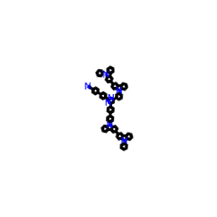 N#Cc1ccc(-c2ccc(-c3nc(-c4ccc(-c5ccc(-n6c7ccccc7c7cc(-c8ccc9c(c8)c8ccccc8n9-c8ccccc8)ccc76)cc5)cc4)cc(-c4cccc(-n5c6ccccc6c6cc(-c7ccc8c(c7)c7ccccc7n8-c7ccccc7)ccc65)c4)n3)cc2)cc1